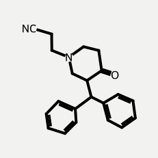 N#CCCN1CCC(=O)C(C(c2ccccc2)c2ccccc2)C1